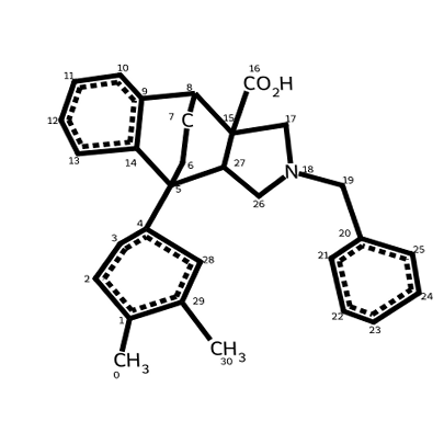 Cc1ccc(C23CCC(c4ccccc42)C2(C(=O)O)CN(Cc4ccccc4)CC32)cc1C